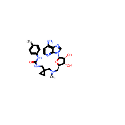 CN(C[C@H]1O[C@@H](n2cnc3c(N)ccnc32)[C@H](O)[C@@H]1O)CC1(CNC(=O)Nc2ccc(C(C)(C)C)cc2)CC1